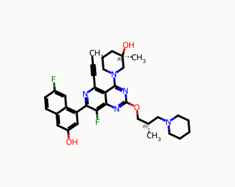 CC#Cc1nc(-c2cc(O)cc3ccc(F)cc23)c(F)c2nc(OC[C@@H](C)CN3CCCCC3)nc(N3CCC[C@@](C)(O)C3)c12